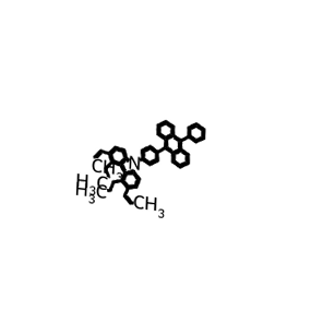 C/C=C\c1ccc2c(c1CCC)c1c(CCC)c(/C=C\C)ccc1n2-c1ccc(-c2c3ccccc3c(-c3ccccc3)c3ccccc23)cc1